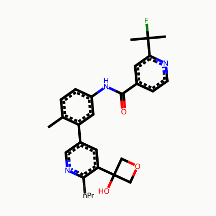 CCCc1ncc(-c2cc(NC(=O)c3ccnc(C(C)(C)F)c3)ccc2C)cc1C1(O)COC1